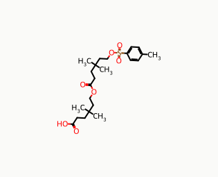 Cc1ccc(S(=O)(=O)OCCC(C)(C)CCC(=O)OCCC(C)(C)CCC(=O)O)cc1